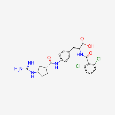 N=C(N)N[C@@H]1CC[C@@H](C(=O)Nc2ccc(C[C@H](NC(=O)c3c(Cl)cccc3Cl)C(=O)O)cc2)C1